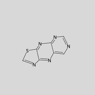 c1ncc2nc3ncsc3nc2n1